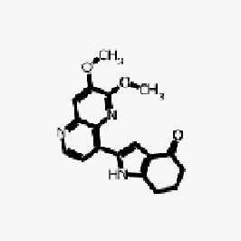 COc1cc2nccc(-c3cc4c([nH]3)CCCC4=O)c2nc1OC